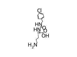 NCCCC[C@H](NC(=O)NCc1ccc(Cl)cc1)C(=O)O